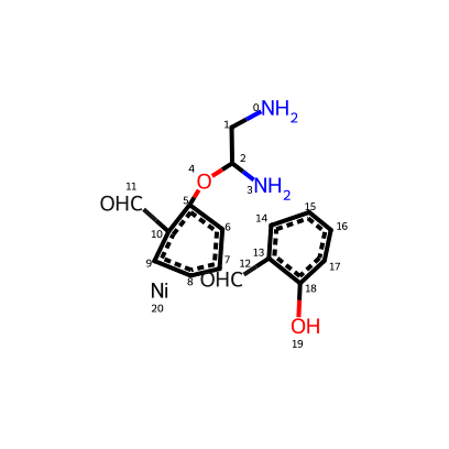 NCC(N)Oc1ccccc1C=O.O=Cc1ccccc1O.[Ni]